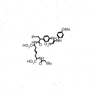 COc1ccc(NC(=C[N+](=O)[O-])Nc2ccc(C(CC(C)C)C(=O)NC(CC=CCC(NC(=O)CC(C)(C)C)C(=O)O)C(=O)O)cc2)cc1